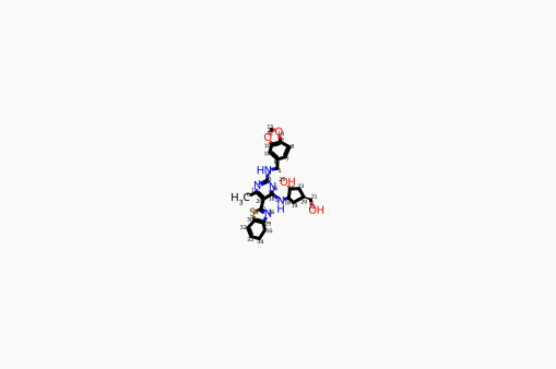 Cc1nc(NCc2ccc3c(c2)OCO3)nc(NC2C[C@H](CO)C[C@H]2O)c1-c1nc2c(s1)C=CCC2